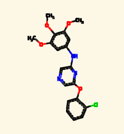 COc1cc(Nc2cncc(Oc3ccccc3Cl)n2)cc(OC)c1OC